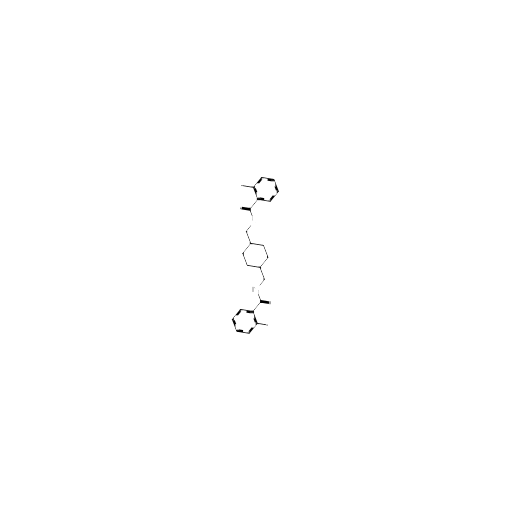 O=C(NCC1CCC(CNC(=O)c2ccccc2Cl)CC1)c1ccccc1Cl